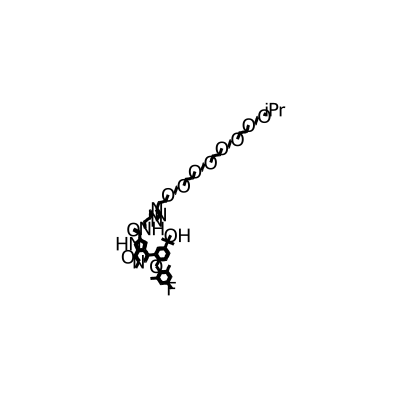 Cc1cc(F)cc(C)c1Oc1ccc(C(C)(C)O)cc1-c1cn(C)c(=O)c2[nH]c(C(=O)NCc3cn(CCOCCOCCOCCOCCOCCOCCOCCOC(C)C)nn3)cc12